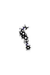 CC(C)[C@@H](C)/C=C/[C@@H](C)[C@H]1CC[C@H]2C3=CC=C4C[C@@H](OC(=O)/C=C/c5ccccc5)CC[C@@]4(C)[C@@H]3CC[C@]12C